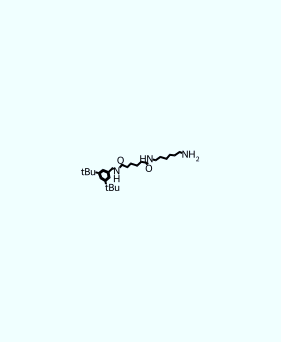 CC(C)(C)c1cc(CNC(=O)CCCCC(=O)NCCCCCCN)cc(C(C)(C)C)c1